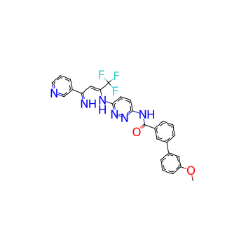 COc1cccc(-c2cccc(C(=O)Nc3ccc(N/C(=C\C(=N)c4cccnc4)C(F)(F)F)nn3)c2)c1